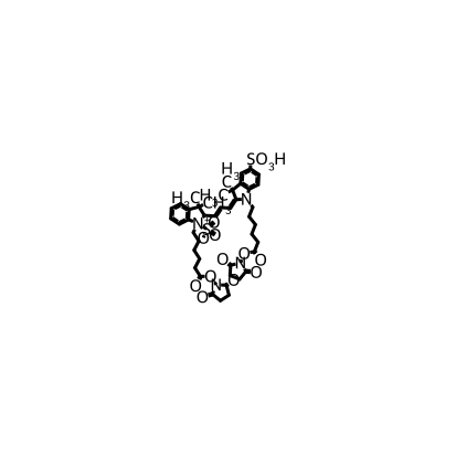 CC1(C)C(=CC=CC2C(C)(C)c3ccccc3[N+]2(CCCCCC(=O)ON2C(=O)CCC2=O)S(=O)(=O)[O-])N(CCCCCC(=O)ON2C(=O)CCC2=O)c2ccc(S(=O)(=O)O)cc21